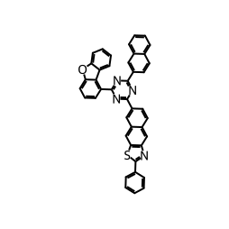 c1ccc(-c2nc3cc4ccc(-c5nc(-c6ccc7ccccc7c6)nc(-c6cccc7oc8ccccc8c67)n5)cc4cc3s2)cc1